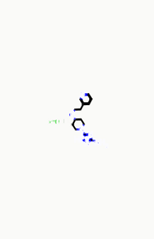 CN(CCc1cccnc1)C1CCN(c2nc(N)n[nH]2)CC1.Cl.Cl.Cl